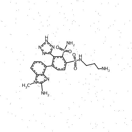 Cn1c(N)nc2c(-c3ccc(S(=O)(=O)NCCCN)c(S(N)(=O)=O)c3-c3nn[nH]n3)cccc21